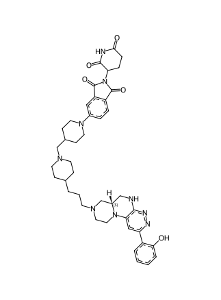 O=C1CCC(N2C(=O)c3ccc(N4CCC(CN5CCC(CCCN6CCN7c8cc(-c9ccccc9O)nnc8NC[C@H]7C6)CC5)CC4)cc3C2=O)C(=O)N1